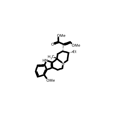 CC[C@@H]1CN2CCc3c([nH]c4cccc(OC)c34)[C@]2(C)C[C@@H]1/C(=C\OC)C(=O)OC